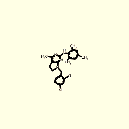 Cc1cc(C)c(Nc2nc(C)c3c(n2)N(Cc2ccc(Cl)cc2Cl)CC3)c(C)c1